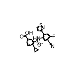 N#Cc1cc(N[S+]([O-])c2cc(C(=O)O)ccc2C2CC2)c(-c2ccsn2)cc1F